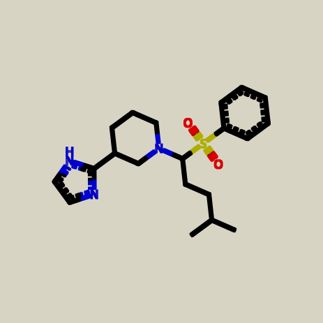 CC(C)CCC(N1CCCC(c2ncc[nH]2)C1)S(=O)(=O)c1ccccc1